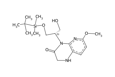 COc1ccc2c(n1)N([C@@H](CO)CO[Si](C)(C)C(C)(C)C)C(=O)CN2